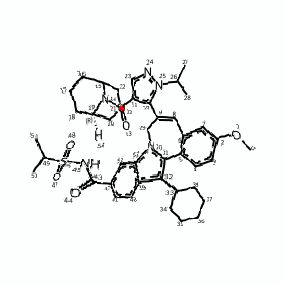 COc1ccc2c(c1)C=C(c1c(C(=O)N3C4CCC[C@@H]3COC4)cnn1C(C)C)Cn1c-2c(C2CCCCC2)c2ccc(C(=O)NS(=O)(=O)C(C)C)cc21